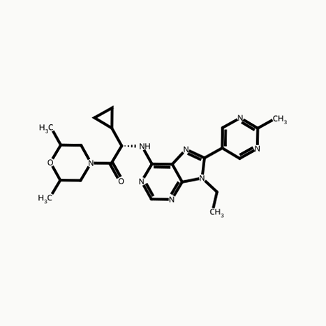 CCn1c(-c2cnc(C)nc2)nc2c(N[C@H](C(=O)N3CC(C)OC(C)C3)C3CC3)ncnc21